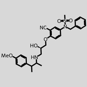 COc1ccc(C(C)C(C)NC[C@@H](O)COc2ccc(N(Cc3ccccc3)S(C)(=O)=O)cc2C#N)cc1